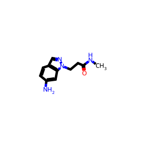 CNC(=O)CCn1ncc2ccc(N)cc21